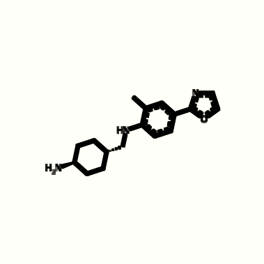 Cc1cc(-c2ncco2)ccc1NC[C@H]1CC[C@H](N)CC1